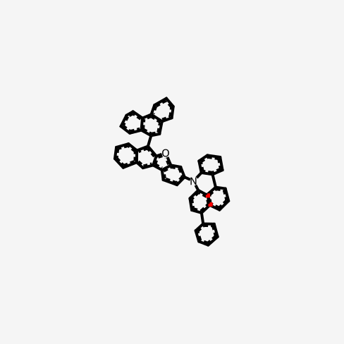 c1ccc(-c2ccc(N(c3ccc4c(c3)oc3c(-c5cc6ccccc6c6ccccc56)c5ccccc5cc34)c3ccccc3-c3ccccc3)cc2)cc1